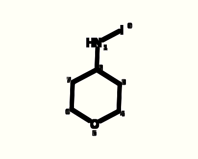 INC1CCOCC1